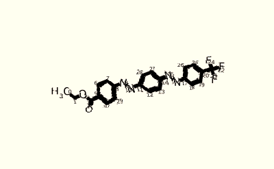 CCOC(=O)c1ccc(N=Nc2ccc(N=Nc3ccc(C(F)(F)F)cc3)cc2)cc1